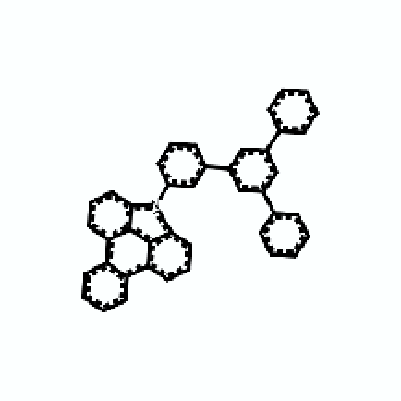 c1ccc(-c2cc(-c3ccccc3)cc(-c3cccc(-n4c5cccc6c7ccccc7c7cccc4c7c65)c3)c2)cc1